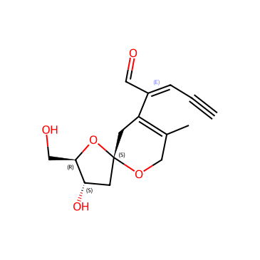 C#C/C=C(/C=O)C1=C(C)CO[C@]2(C1)C[C@H](O)[C@@H](CO)O2